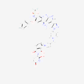 C[C@H](Oc1cc(-c2nn(C)c3c(-c4cnn(C5CCN(CC6CCN(c7cccc8c7C(=O)N(C7CCC(=O)NC7=O)C8=O)C6)CC5)c4)cnc(N)c23)ccc1NS(=O)(=O)C(F)F)c1ccc(F)cc1